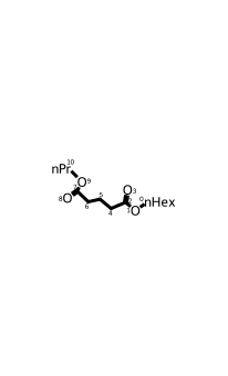 CCCCCCOC(=O)CCCC(=O)OCCC